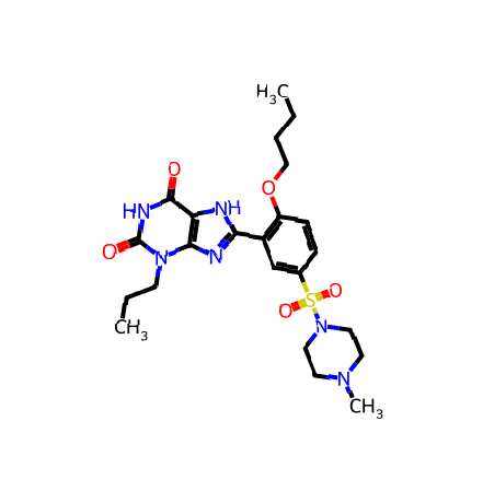 CCCCOc1ccc(S(=O)(=O)N2CCN(C)CC2)cc1-c1nc2c([nH]1)c(=O)[nH]c(=O)n2CCC